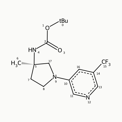 CC(C)(C)OC(=O)N[C@]1(C)CCN(c2cncc(C(F)(F)F)c2)C1